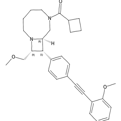 COC[C@H]1[C@@H](c2ccc(C#Cc3ccccc3OC)cc2)[C@@H]2CN(C(=O)C3CCC3)CCCCN12